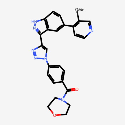 COc1cnccc1-c1ccc2[nH]nc(-c3cn(-c4ccc(C(=O)N5CCOCC5)cc4)nn3)c2c1